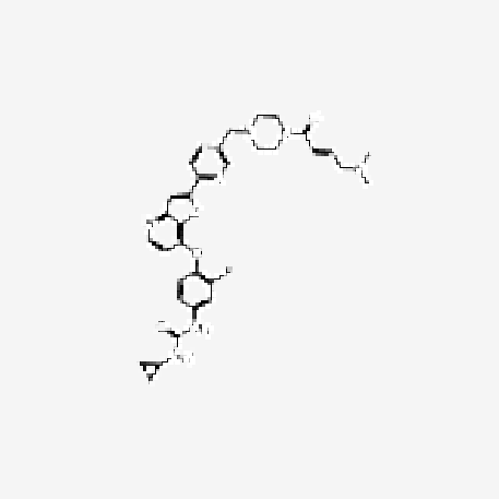 CN(C)C/C=C/C(=O)N1CCN(Cc2ccc(-c3cc4nccc(Oc5ccc(NC(=O)NC6CC6)cc5F)c4s3)nc2)CC1